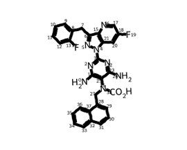 Nc1nc(-n2nc(Cc3ccccc3F)c3ncc(F)cc32)nc(N)c1N(Cc1cccc2ccccc12)C(=O)O